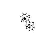 O=C1C=CCC(=O)N1C1CCC(N2C(=O)CCCC2=O)CC1